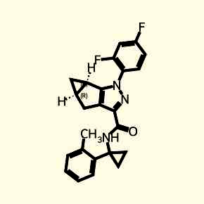 Cc1ccccc1C1(NC(=O)c2nn(-c3ccc(F)cc3F)c3c2C[C@H]2C[C@@H]32)CC1